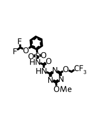 COc1nc(NC(=O)NS(=O)(=O)c2ccccc2OC(F)F)nc(OCC(F)(F)F)n1